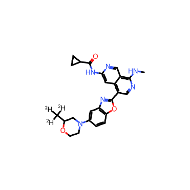 [2H]C([2H])([2H])C1CN(c2ccc3oc(-c4cnc(NC)c5cnc(NC(=O)C6CC6)cc45)nc3c2)CCO1